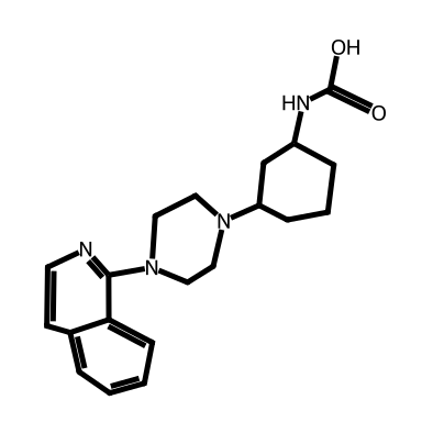 O=C(O)NC1CCCC(N2CCN(c3nccc4ccccc34)CC2)C1